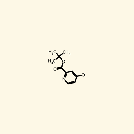 CC(C)(C)OC(=O)c1cc([O])ccn1